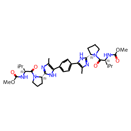 COC(=O)N[C@H](C(=O)N1CCC[C@H]1c1nc(C)c(-c2ccc(-c3[nH]c([C@@H]4CCCN4C(=O)[C@@H](NC(=O)OC)C(C)C)nc3C)cc2)[nH]1)C(C)C